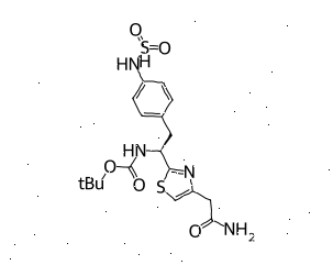 CC(C)(C)OC(=O)N[C@@H](Cc1ccc(N[SH](=O)=O)cc1)c1nc(CC(N)=O)cs1